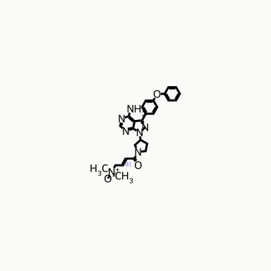 C[N+](C)([O-])C/C=C/C(=O)N1CCC(n2nc(-c3ccc(Oc4ccccc4)cc3)c3c(N)ncnc32)C1